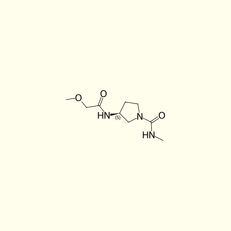 CNC(=O)N1CC[C@H](NC(=O)COC)C1